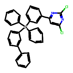 Clc1cc(-c2cccc([Si](c3ccccc3)(c3ccccc3)c3cccc(-c4ccccc4)c3)c2)nc(Cl)n1